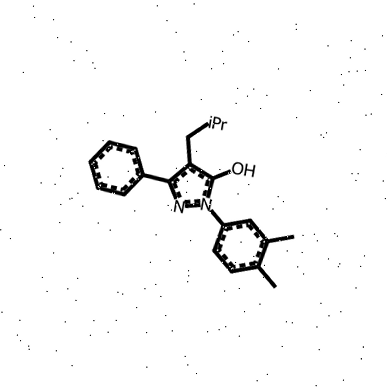 Cc1ccc(-n2nc(-c3ccccc3)c(CC(C)C)c2O)cc1C